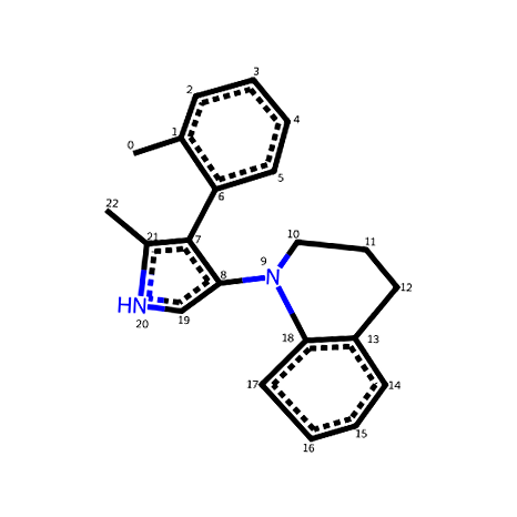 Cc1ccccc1-c1c(N2CCCc3ccccc32)c[nH]c1C